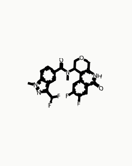 CN(C(=O)c1ccc2c(c1)c(C(F)F)nn2C)C1COCc2[nH]c(=O)c3cc(F)c(F)cc3c21